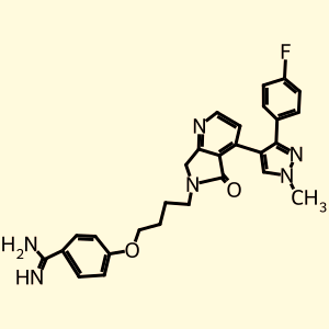 Cn1cc(-c2ccnc3c2C(=O)N(CCCCOc2ccc(C(=N)N)cc2)C3)c(-c2ccc(F)cc2)n1